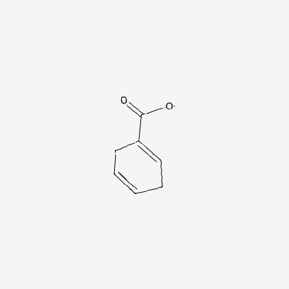 [O]C(=O)C1=CCC=CC1